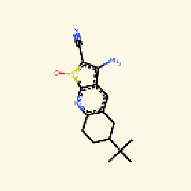 CC(C)(C)C1CCc2nc3c(cc2C1)c(N)c(C#N)[s+]3[O-]